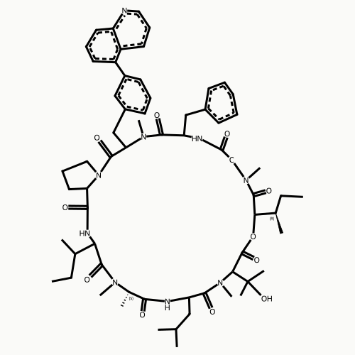 CCC(C)C1NC(=O)C2CCCN2C(=O)C(Cc2cccc(-c3cccc4ncccc34)c2)N(C)C(=O)C(Cc2ccccc2)NC(=O)CN(C)C(=O)C([C@H](C)CC)OC(=O)C(C(C)(C)O)N(C)C(=O)C(CC(C)C)NC(=O)[C@H](C)N(C)C1=O